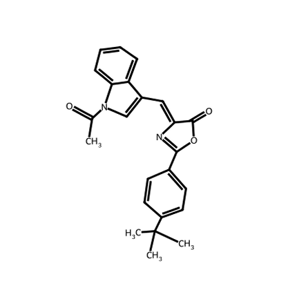 CC(=O)n1cc(/C=C2\N=C(c3ccc(C(C)(C)C)cc3)OC2=O)c2ccccc21